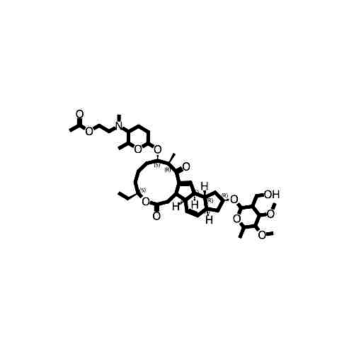 CC[C@H]1CCC[C@H](OC2CCC(N(C)CCOC(C)=O)C(C)O2)[C@@H](C)C(=O)C2=C[C@H]3[C@@H]4C[C@H](OC5OC(C)C(OC)C(OC)C5CO)C[C@H]4C=C[C@H]3C2CC(=O)O1